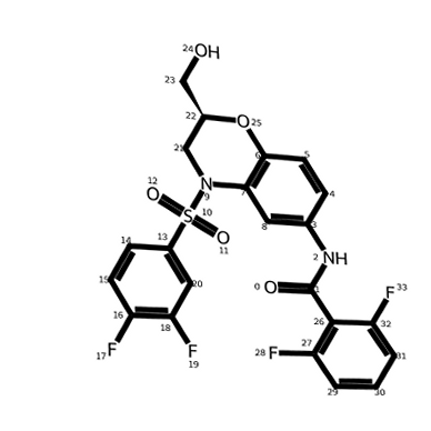 O=C(Nc1ccc2c(c1)N(S(=O)(=O)c1ccc(F)c(F)c1)C[C@@H](CO)O2)c1c(F)cccc1F